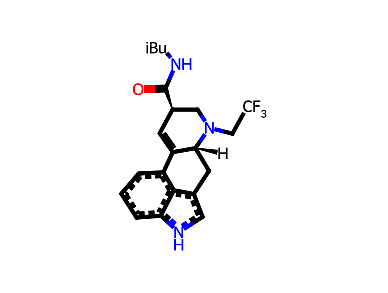 CCC(C)NC(=O)[C@@H]1C=C2c3cccc4[nH]cc(c34)C[C@H]2N(CC(F)(F)F)C1